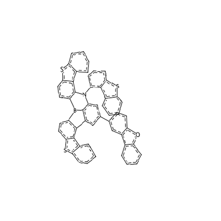 c1ccc2c(c1)oc1ccc(-c3cc4c5c(c3)N(c3cccc6sc7ccccc7c36)c3c(ccc6sc7ccccc7c36)B5c3ccc5sc6ccccc6c5c3-4)cc12